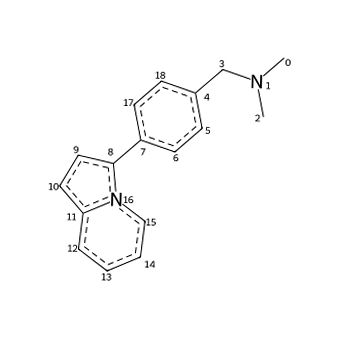 CN(C)Cc1ccc(-c2ccc3ccccn23)cc1